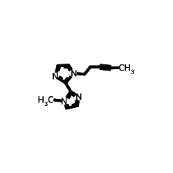 CC#CCCn1ccnc1-c1nccn1C